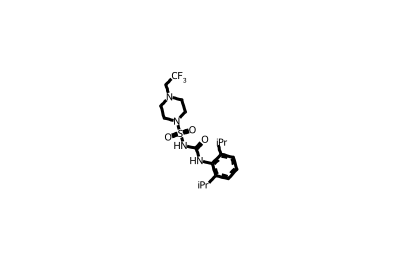 CC(C)c1cccc(C(C)C)c1NC(=O)NS(=O)(=O)N1CCN(CC(F)(F)F)CC1